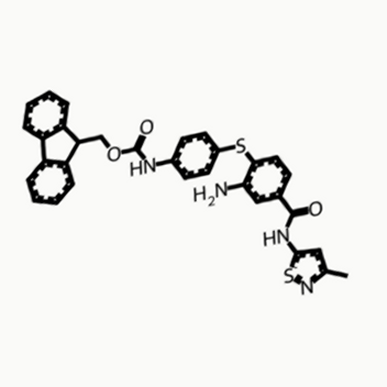 Cc1cc(NC(=O)c2ccc(Sc3ccc(NC(=O)OCC4c5ccccc5-c5ccccc54)cc3)c(N)c2)sn1